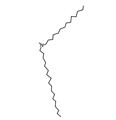 CCCCCCCCCCCCCCCCCCN(C)CCCCCCCCCCCCCC